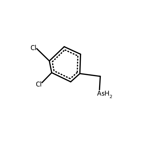 Clc1ccc(C[AsH2])cc1Cl